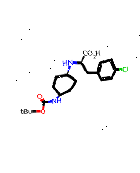 CC(C)(C)OC(=O)N[C@H]1CC[C@@H](N[C@H](Cc2ccc(Cl)cc2)C(=O)O)CC1